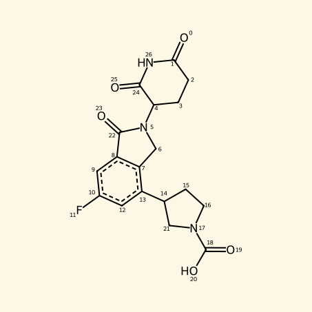 O=C1CCC(N2Cc3c(cc(F)cc3C3CCN(C(=O)O)C3)C2=O)C(=O)N1